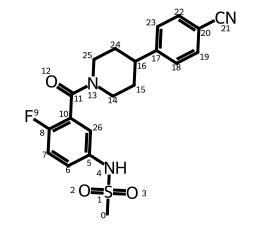 CS(=O)(=O)Nc1ccc(F)c(C(=O)N2CCC(c3ccc(C#N)cc3)CC2)c1